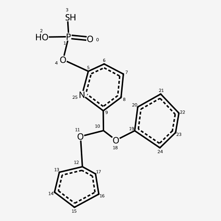 O=P(O)(S)Oc1cccc(C(Oc2ccccc2)Oc2ccccc2)n1